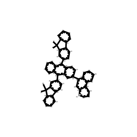 CC1(C)c2ccccc2-c2ccc(-c3c4ccccc4c(-c4ccc5c(c4)C(C)(C)c4ccccc4-5)c4cc(-c5cc6ncccc6c6ccccc56)ccc34)cc21